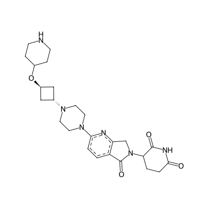 O=C1CCC(N2Cc3nc(N4CCN([C@H]5C[C@H](OC6CCNCC6)C5)CC4)ccc3C2=O)C(=O)N1